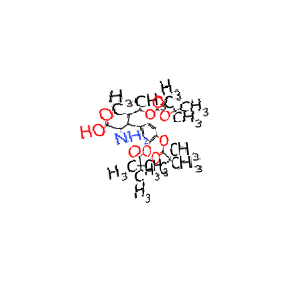 CC(OC(=O)OC(C)(C)C)C(C)C(c1ccc(OC(=O)C(C)(C)C)c(OC(=O)C(C)(C)C)c1)[C@H](N)C(=O)O